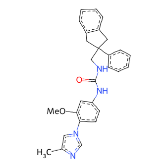 COc1cc(NC(=O)NCC2(c3ccccc3)Cc3ccccc3C2)ccc1-n1cnc(C)c1